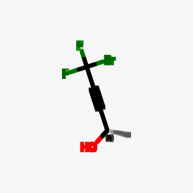 C[C@H](O)C#CC(F)(F)Br